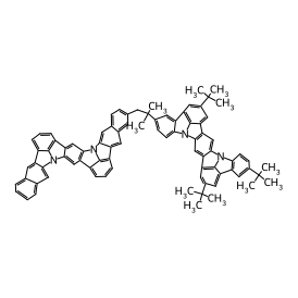 CC(C)(C)c1ccc2c(c1)c1cc(C(C)(C)C)cc3c4cc5c(cc4n2c13)c1cc(C(C)(C)C)cc2c3cc(C(C)(C)Cc4ccc6cc7c(cc6c4)c4cccc6c8cc9c(cc8n7c46)c4cccc6c7cc8ccccc8cc7n9c64)ccc3n5c21